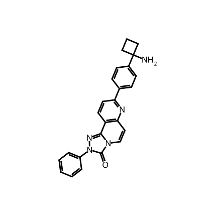 NC1(c2ccc(-c3ccc4c(ccn5c(=O)n(-c6ccccc6)nc45)n3)cc2)CCC1